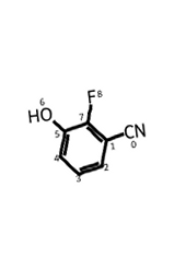 N#Cc1cccc(O)c1F